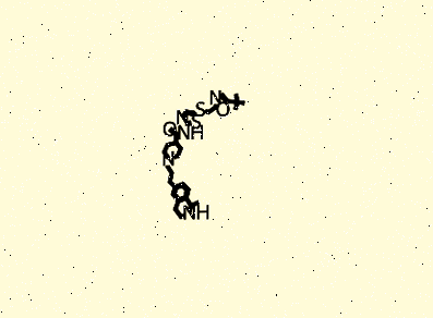 CC1NCCc2cc(CCCN3CCC(C(=O)Nc4ncc(SCc5ncc(C(C)(C)C)o5)s4)CC3)ccc21